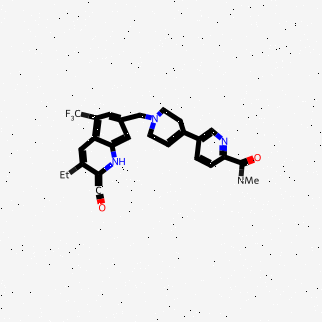 CCC1=Cc2c(cc(CN3CC=C(c4ccc(C(=O)NC)nc4)CC3)cc2C(F)(F)F)NC1=C=O